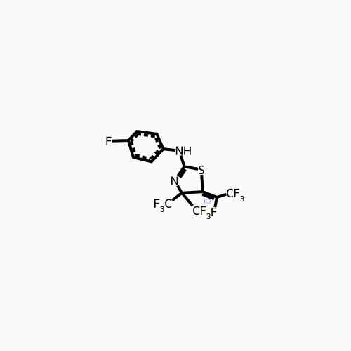 F/C(=C1/SC(Nc2ccc(F)cc2)=NC1(C(F)(F)F)C(F)(F)F)C(F)(F)F